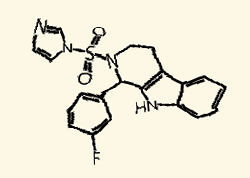 O=S(=O)(N1CCc2c([nH]c3ccccc23)C1c1cccc(F)c1)n1ccnc1